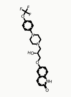 O=c1ccc2cc(OC[C@@H](O)CN3CCN(c4ccc(OC(F)(F)F)cc4)CC3)ccc2[nH]1